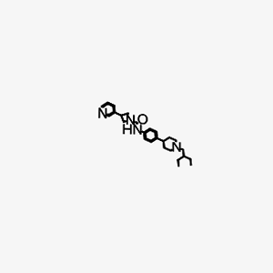 CCC(CC)CN1CCC(c2ccc(NC(=O)N3CC(c4cccnc4)C3)cc2)CC1